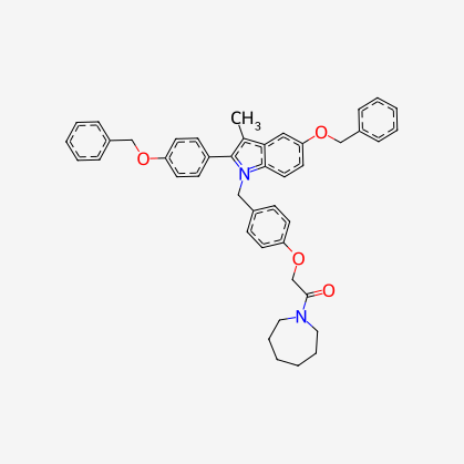 Cc1c(-c2ccc(OCc3ccccc3)cc2)n(Cc2ccc(OCC(=O)N3CCCCCC3)cc2)c2ccc(OCc3ccccc3)cc12